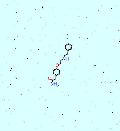 NC(=O)Cc1ccc(OCCNCCc2ccccc2)cc1